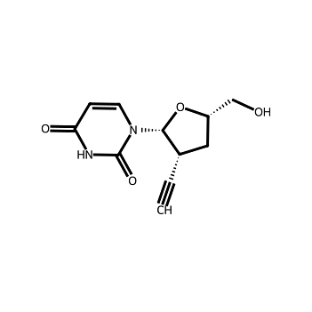 C#C[C@H]1C[C@@H](CO)O[C@H]1n1ccc(=O)[nH]c1=O